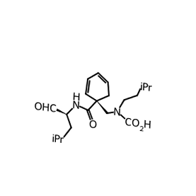 CC(C)CCN(C[C@@]1(C(=O)N[C@H](C=O)CC(C)C)C=CC=CC1)C(=O)O